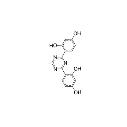 Cc1nc(-c2ccc(O)cc2O)nc(-c2ccc(O)cc2O)n1